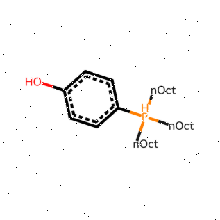 CCCCCCCC[PH](CCCCCCCC)(CCCCCCCC)c1ccc(O)cc1